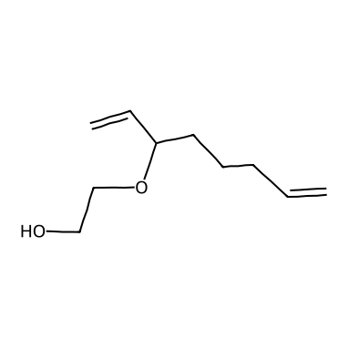 C=CCCCC(C=C)OCCO